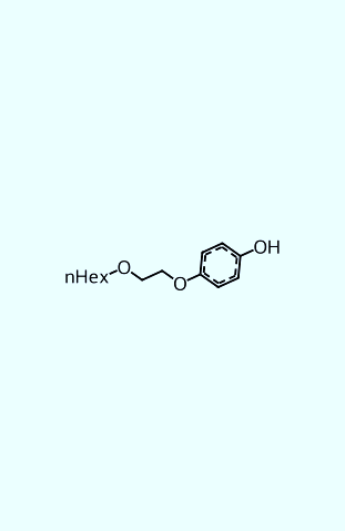 CCCCCCOCCOc1ccc(O)cc1